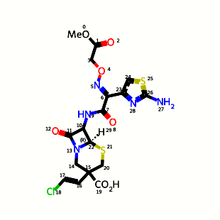 COC(=O)CON=C(C(=O)NC1C(=O)N2CC(C=CCl)(C(=O)O)CS[C@H]12)c1csc(N)n1